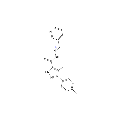 Cc1ccc(-c2n[nH]c(C(=O)N/N=C/c3cccnc3)c2C)cc1